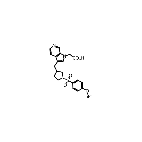 CC(C)Oc1ccc(S(=O)(=O)N2CCC(Cc3cn(CC(=O)O)c4cnccc34)C2)cc1